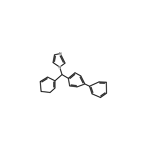 C1=CC(C(c2ccc(-c3ccccc3)cc2)n2ccnc2)=CCC1